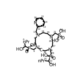 CCCC(O)P(=O)(O)CN1CCN(Cc2ccccn2)CCN(CP(=O)(O)O)CCN(CP(=O)(O)C(O)CCC)CC1